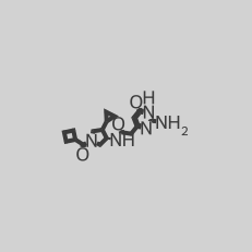 Nc1nc(CC(=O)N[C@H]2CN(C(=O)C3CCC3)CC2C2CC2)cc(=O)[nH]1